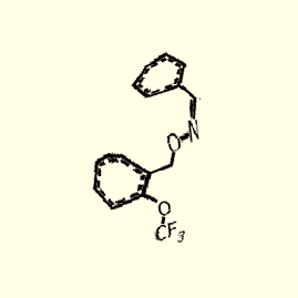 FC(F)(F)Oc1ccccc1CO/N=[C]\c1ccccc1